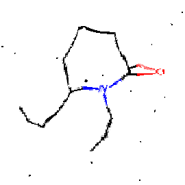 CCC1CCCC(=O)N1CC